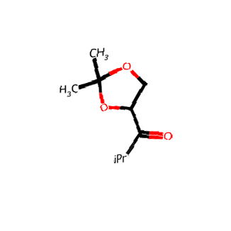 CC(C)C(=O)C1COC(C)(C)O1